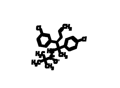 C=CC[C@H](c1cccc(Cl)c1)C(C)(N[S@+]([O-])C(C)(C)C)c1ccc(Cl)cc1